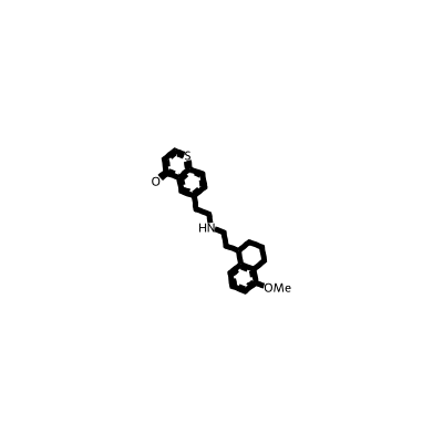 COc1cccc2c1CCCC2CCNCCc1ccc2sccc(=O)c2c1